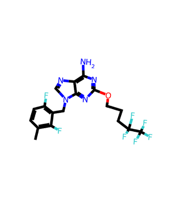 Cc1ccc(F)c(Cn2cnc3c(N)nc(OCCCC(F)(F)C(F)(F)F)nc32)c1F